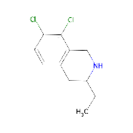 CCC1Cc2ccc(Cl)c(Cl)c2CN1